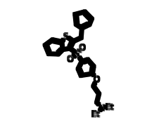 CCN(CC)CCCOc1ccc(S(=O)(=O)c2c(Cc3ccccc3)sc3ccccc23)cc1